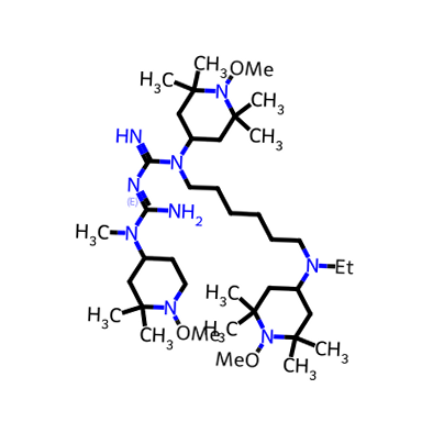 CCN(CCCCCCN(C(=N)/N=C(\N)N(C)C1CCN(OC)C(C)(C)C1)C1CC(C)(C)N(OC)C(C)(C)C1)C1CC(C)(C)N(OC)C(C)(C)C1